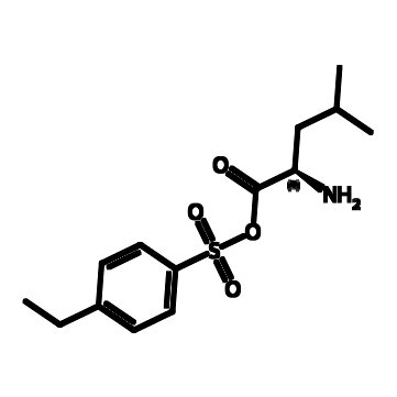 CCc1ccc(S(=O)(=O)OC(=O)[C@H](N)CC(C)C)cc1